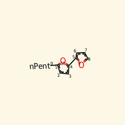 [CH2]CCCCc1ccc(-c2ccco2)o1